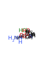 CN1CC[C@]23c4c5ccc(OCC(=O)NCCN)c4O[C@H]2[C@@H](O)CC[C@H]3[C@H]1C5.Cl